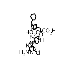 Nc1nc(Cl)nc2c1ncn2[C@@H]1O[C@@H]2C(OC(Cc3cnn(CC4CCCCC4)c3)(C(=O)O)C(=O)O)C2[C@@H]1F